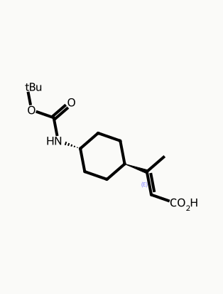 C/C(=C\C(=O)O)[C@H]1CC[C@H](NC(=O)OC(C)(C)C)CC1